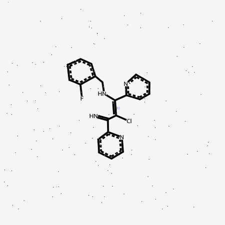 N=C(/C(Cl)=C(\NCc1ccccc1F)c1ccccn1)c1ccccn1